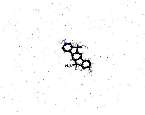 CC1(C)c2cc(N)ccc2-c2cc3c(cc21)-c1ccc(Br)cc1C3(C)C